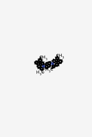 Cc1ccc(C2(c3cccc(N(c4cccc(C)c4)c4ccc5ccc6c(N(c7cccc(C)c7)c7cccc(C8(c9ccc(C)cc9)c9ccccc9-c9ccccc98)c7)ccc7ccc4c5c76)c3)c3ccccc3-c3ccccc32)cc1